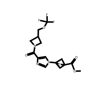 COC(=O)C12CC(n3cnc(C(=O)N4CC(COC(F)(F)F)C4)c3)(C1)C2